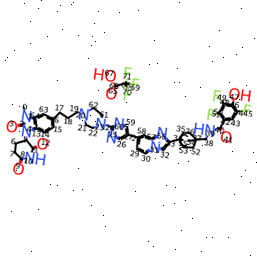 Cn1c(=O)n([C@@H]2CCC(=O)NC2=O)c2ccc(CCCN3CCN(c4ncc(-c5ccn6cc(C78CCC(CNC(=O)c9cc(F)c(O)c(F)c9F)(CC7)CC8)nc6c5)cn4)CC3)cc21.O=C(O)C(F)(F)F